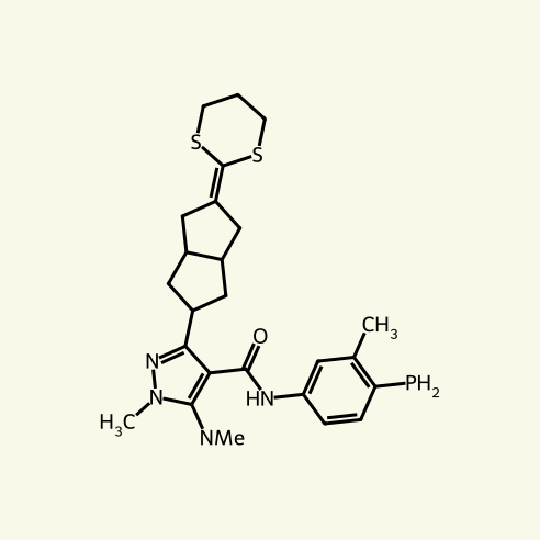 CNc1c(C(=O)Nc2ccc(P)c(C)c2)c(C2CC3CC(=C4SCCCS4)CC3C2)nn1C